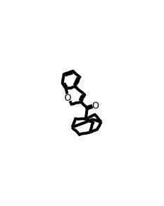 O=C(C1=Cc2ccccc2OC1)C12CC3CC(CC(C3)C1)C2